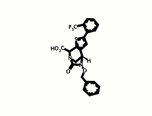 O=C(O)C1c2sc(-c3ccccc3C(F)(F)F)cc2[C@H]2CN1C(=O)N2OCc1ccccc1